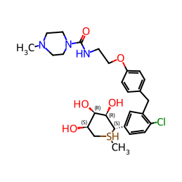 CN1CCN(C(=O)NCCOc2ccc(Cc3cc([C@H]4[C@H](O)[C@H](O)[C@H](O)C[SH]4C)ccc3Cl)cc2)CC1